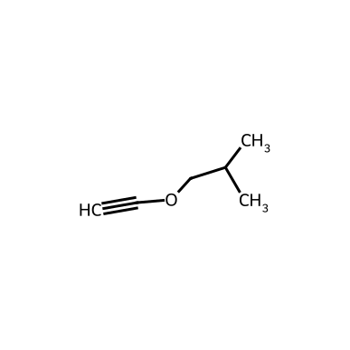 C#COCC(C)C